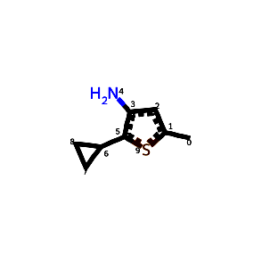 Cc1cc(N)c(C2CC2)s1